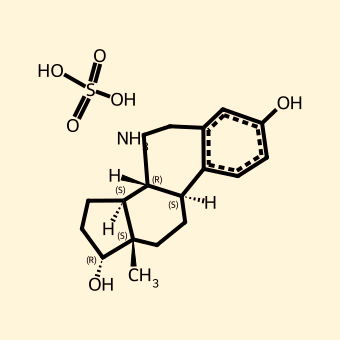 C[C@]12CC[C@@H]3c4ccc(O)cc4CC[C@H]3[C@@H]1CC[C@H]2O.N.O=S(=O)(O)O